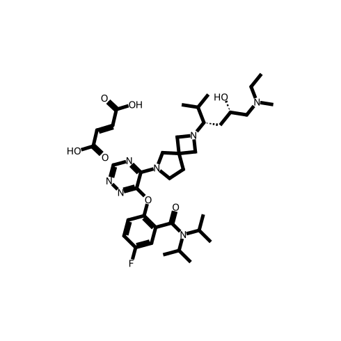 CCN(C)C[C@@H](O)C[C@@H](C(C)C)N1CC2(CCN(c3ncnnc3Oc3ccc(F)cc3C(=O)N(C(C)C)C(C)C)C2)C1.O=C(O)/C=C/C(=O)O